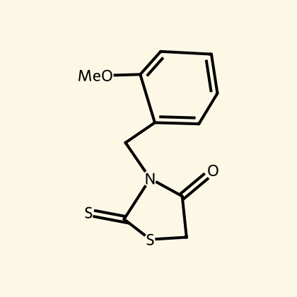 COc1ccccc1CN1C(=O)CSC1=S